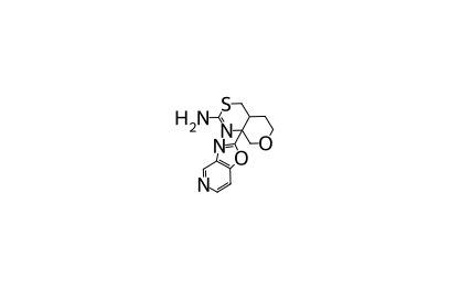 NC1=NC2(c3nc4cnccc4o3)COCCC2CS1